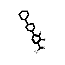 CC(=O)c1ccc(C2CCC(C3CCCCC3)CC2)c(F)c1F